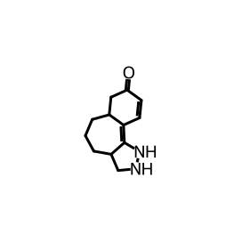 O=C1C=CC2=C3NNCC3CCCC2C1